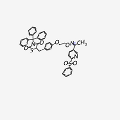 C/C(=N/OCCOc1ccc(CC2SC(=O)N(C(c3ccccc3)(c3ccccc3)c3ccccc3)C2=O)cc1)c1ccc(S(=O)(=O)c2ccccc2)nc1